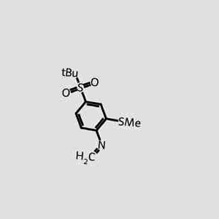 C=Nc1ccc(S(=O)(=O)C(C)(C)C)cc1SC